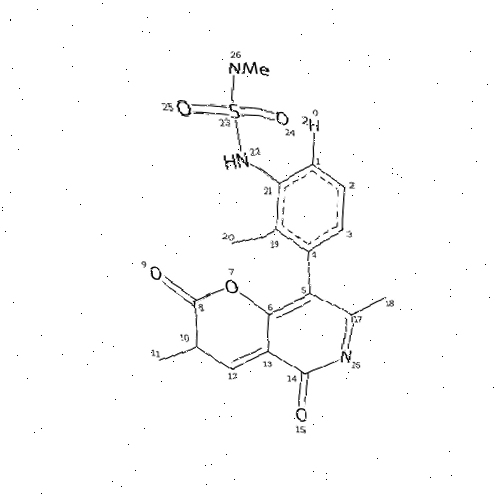 [2H]c1ccc(C2=C3OC(=O)C(C)C=C3C(=O)N=C2C)c(C)c1NS(=O)(=O)NC